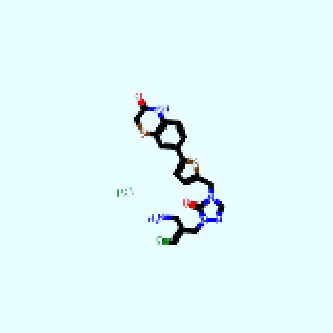 Cl.NC/C(=C\F)Cn1ncn(Cc2ccc(-c3ccc4c(c3)SCC(=O)N4)s2)c1=O